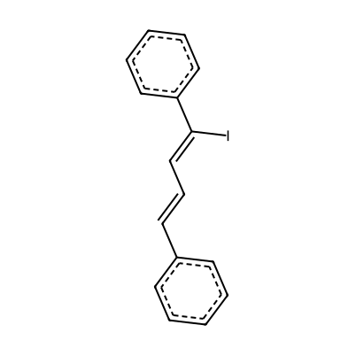 IC(=CC=Cc1ccccc1)c1ccccc1